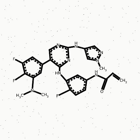 C=CC(=O)Nc1ccc(F)c(Nc2nc(Nc3cnn(C)c3)ncc2-c2cc(F)c(F)c(N(C)C)c2)c1